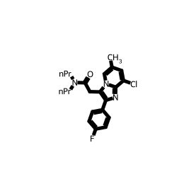 CCCN(CCC)C(=O)Cc1c(-c2ccc(F)cc2)nc2c(Cl)cc(C)cn12